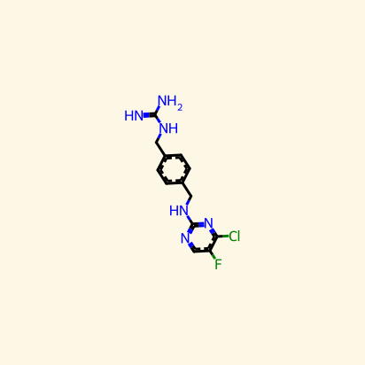 N=C(N)NCc1ccc(CNc2ncc(F)c(Cl)n2)cc1